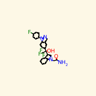 NC(=O)Cn1cc(C(O)(c2ccc3c(cnn3-c3ccc(F)cc3)c2)C(F)(F)F)c2ccccc21